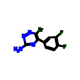 Nc1nnc(Br)c(-c2ccc(F)c(F)c2)n1